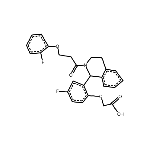 O=C(O)COc1ccc(F)cc1C1c2ccccc2CCN1C(=O)CCOc1ccccc1F